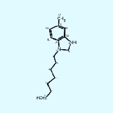 CCCCCCCCCCCCCCCCN1CNc2cc(C)ccc21